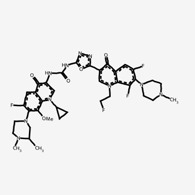 COc1c(N2CCN(C)C(C)C2)c(F)cc2c(=O)c(NC(=O)Nc3nnc(-c4cn(CCF)c5c(F)c(N6CCN(C)CC6)c(F)cc5c4=O)o3)cn(C3CC3)c12